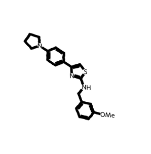 COc1cccc(CNc2nc(-c3ccc(N4CCCC4)cc3)cs2)c1